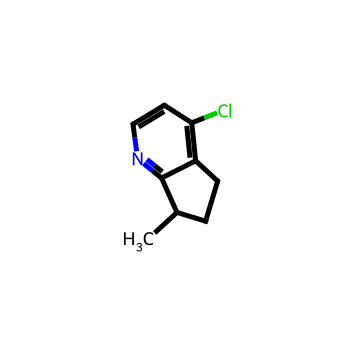 CC1CCc2c(Cl)ccnc21